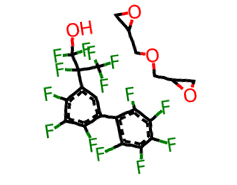 C(OCC1CO1)C1CO1.OC(F)(F)C(F)(c1cc(-c2c(F)c(F)c(F)c(F)c2F)c(F)c(F)c1F)C(F)(F)F